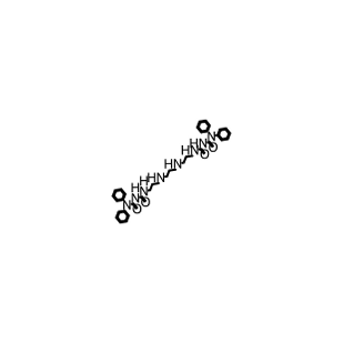 O=C(NCCCNCCCNCCCNC(=O)NC(=O)N(c1ccccc1)c1ccccc1)NC(=O)N(c1ccccc1)c1ccccc1